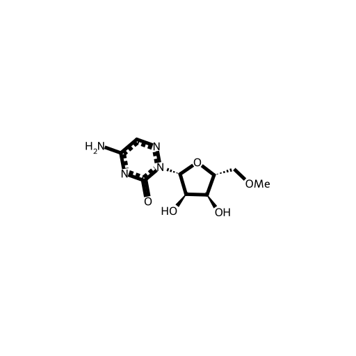 COC[C@H]1O[C@@H](n2ncc(N)nc2=O)[C@H](O)[C@@H]1O